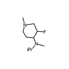 CC(C)N(C)C1CCN(C)CC1F